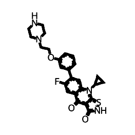 O=c1[nH]sc2c1c(=O)c1cc(F)c(-c3cccc(OCCN4CCNCC4)c3)cc1n2C1CC1